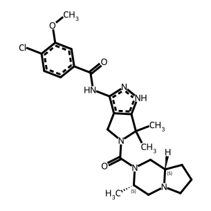 COc1cc(C(=O)Nc2n[nH]c3c2CN(C(=O)N2C[C@@H]4CCCN4C[C@@H]2C)C3(C)C)ccc1Cl